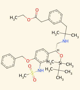 CCOC(=O)Cc1cccc(CC(C)(C)NC[C@H](O[Si](C)(C)C(C)(C)C)c2ccc(OCc3ccccc3)c(NS(C)(=O)=O)c2)c1